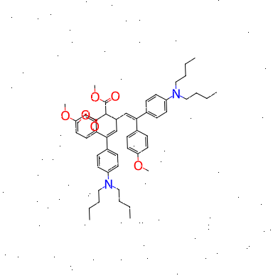 CCCCN(CCCC)c1ccc(C(=CC(C=C(c2ccc(OC)cc2)c2ccc(N(CCCC)CCCC)cc2)C(C(=O)OC)C(=O)OC)c2ccc(OC)cc2)cc1